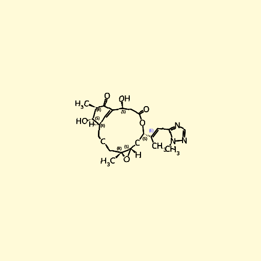 C/C(=C\c1ncnn1C)[C@@H]1C[C@@H]2O[C@]2(C)CCC[C@@H]2C=C(C(=O)[C@H](C)[C@H]2O)[C@@H](O)CC(=O)O1